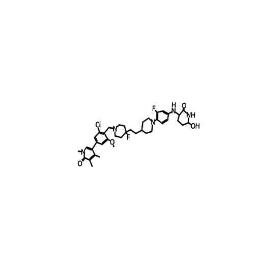 COc1cc(-c2cn(C)c(=O)c(C)c2C)cc(Cl)c1CN1CCC(F)(CCC2CCN(c3ccc(NC4CCC(O)NC4=O)cc3F)CC2)CC1